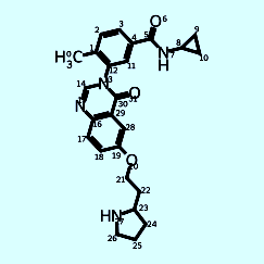 Cc1ccc(C(=O)NC2CC2)cc1-n1cnc2ccc(OCCC3CCCN3)cc2c1=O